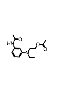 CCN(CCOC(C)=O)c1cccc(NC(C)=O)c1